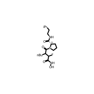 CCCCC(C(=O)N1CCC[C@H]1C(=O)NCCC(C)C)C(F)C(=O)NO